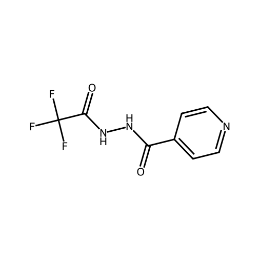 O=C(NNC(=O)C(F)(F)F)c1ccncc1